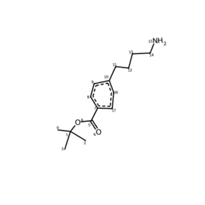 CC(C)(C)OC(=O)c1ccc(CCCCN)cc1